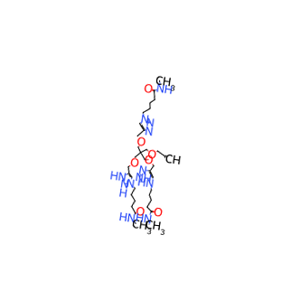 C#CCOCC(COCC1=CN(CCCCC(=O)NC)NN1)(COC/C(=C/NCCCCC(=O)NC)N=N)COCc1cn(CCCCC(=O)NC)nn1